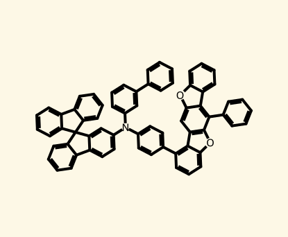 c1ccc(-c2cccc(N(c3ccc(-c4cccc5oc6c(-c7ccccc7)c7c(cc6c45)oc4ccccc47)cc3)c3ccc4c(c3)C3(c5ccccc5-c5ccccc53)c3ccccc3-4)c2)cc1